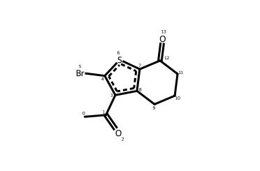 CC(=O)c1c(Br)sc2c1CCCC2=O